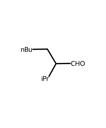 CCCCCC(C=O)C(C)C